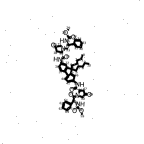 CCCCCC1(CCCCC)c2cc(NC(=O)[C@@H]3CC(=O)CN3C[C@H](NC(=O)OC)c3ccccc3)ccc2-c2ccc(NC(=O)[C@@H]3CC(=O)CN3C(=O)[C@H](NC(=O)OC)c3ccccc3)cc21